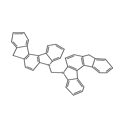 c1ccc2c(c1)Cc1ccc3c(c1-2)c1ccccc1n3Cn1c2ccccc2c2c3c(ccc21)Cc1ccccc1-3